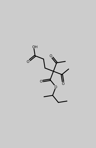 CCC(C)OC(=O)C(CCC(=O)O)(C(C)=O)C(C)=O